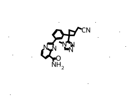 Cn1cnnc1C1(c2cccc(-c3cn4cccc(C(N)=O)c4n3)c2)CC(CC#N)C1